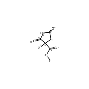 COC(=O)C1(Br)CC(=O)NC1=O